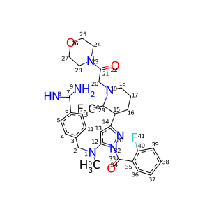 CN(Cc1ccc(C(=N)N)cc1)c1cc(C2CCCN(CC(=O)N3CCOCC3)C2C(F)(F)F)nn1C(=O)c1ccccc1F